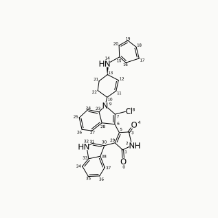 O=C1NC(=O)C(c2c(Cl)n(C3C=C[C@H](Nc4ccccc4)CC3)c3ccccc23)=C1c1c[nH]c2ccccc12